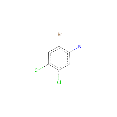 [N]c1cc(Cl)c(Cl)cc1Br